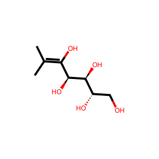 CC(C)=C(O)[C@H](O)[C@@H](O)[C@@H](O)CO